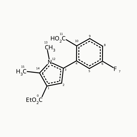 CCOC(=O)c1cc(-c2cc(F)ccc2C(=O)O)n(C)c1C